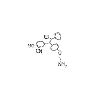 CCC(=C(c1ccc(OCCN)cc1)c1ccc(O)c(C#N)c1)c1ccccc1